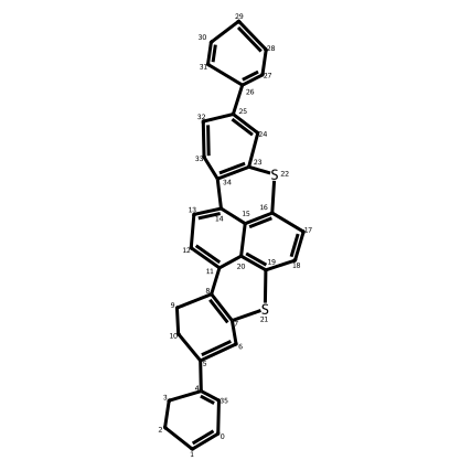 C1=CCCC(C2=CC3=C(CC2)c2ccc4c5c(ccc(c25)S3)Sc2cc(-c3ccccc3)ccc2-4)=C1